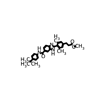 COC(=O)CCc1cc(C)c(-c2nc3ccc(C(=O)Nc4ccc(C(C)(C)C)cc4)cc3[nH]2)c(C)c1